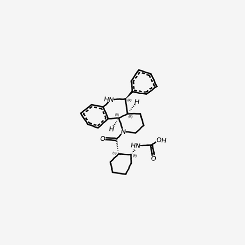 O=C(O)N[C@@H]1CCCC[C@@H]1C(=O)N1CCC[C@@H]2[C@H](c3ccccc3)Nc3ccccc3[C@@H]21